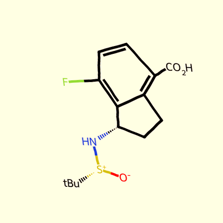 CC(C)(C)[S@@+]([O-])N[C@H]1CCc2c(C(=O)O)ccc(F)c21